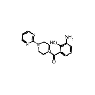 Nc1cccc(C(=O)N2CCN(c3ncccn3)CC2)c1O